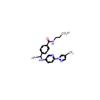 CCCC(Nc1ccc(-n2cc(C(F)(F)F)cn2)nc1)c1ccc(C(=O)NCCC(=O)O)cc1